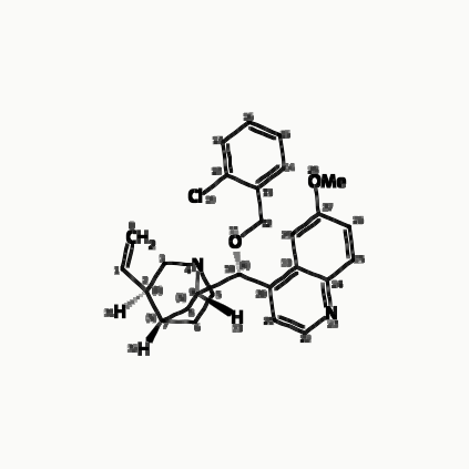 C=C[C@H]1CN2CC[C@H]1C[C@H]2[C@H](OCc1ccccc1Cl)c1ccnc2ccc(OC)cc12